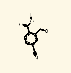 N#Cc1ccc(C(=O)OI)c(CO)c1